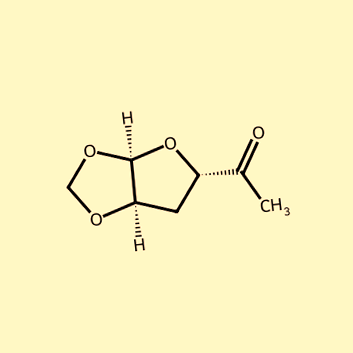 CC(=O)[C@@H]1C[C@H]2OCO[C@H]2O1